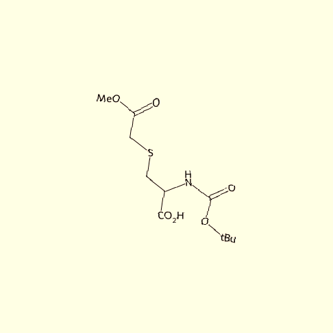 COC(=O)CSCC(NC(=O)OC(C)(C)C)C(=O)O